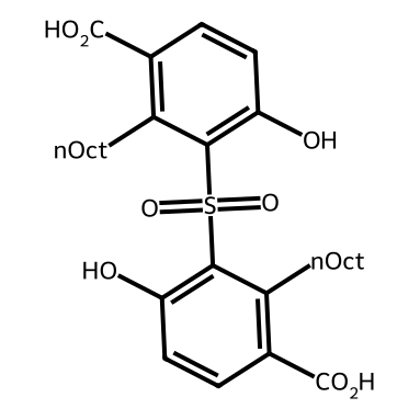 CCCCCCCCc1c(C(=O)O)ccc(O)c1S(=O)(=O)c1c(O)ccc(C(=O)O)c1CCCCCCCC